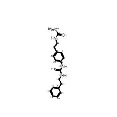 COC(=O)NCCc1ccc(NC(=S)NCCc2ccccc2)cc1